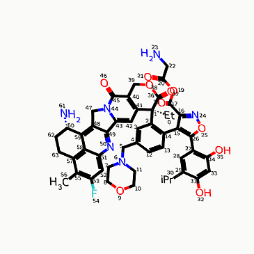 CC[C@@]1(c2cc(CN3CCOCC3)ccc2-c2c(C(=O)OC(=O)CN)noc2-c2cc(C(C)C)c(O)cc2O)C(=O)OCc2c1cc1n(c2=O)Cc2c-1nc1cc(F)c(C)c3c1c2[C@@H](N)CC3